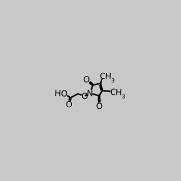 CC1=C(C)C(=O)N(OCC(=O)O)C1=O